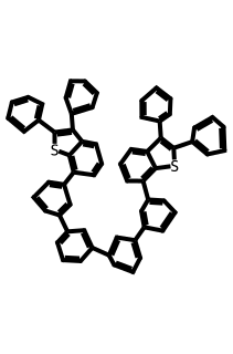 c1ccc(-c2sc3c(-c4cccc(-c5cccc(-c6cccc(-c7cccc(-c8cccc9c(-c%10ccccc%10)c(-c%10ccccc%10)sc89)c7)c6)c5)c4)cccc3c2-c2ccccc2)cc1